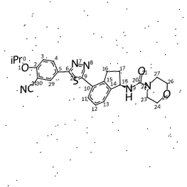 CC(C)Oc1ccc(-c2nnc(-c3cccc4c3CC[C@H]4NC(=O)N3CCOCC3)s2)cc1C#N